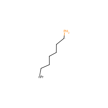 CCCCCCCC[CH]P